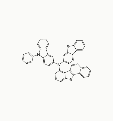 c1ccc(-n2c3ccccc3c3cc(N(c4ccc5c(c4)sc4ccccc45)c4cccc5sc6c7ccccc7ccc6c45)ccc32)cc1